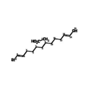 CC(=O)O.CCC=CCCCCCCCCC=CO